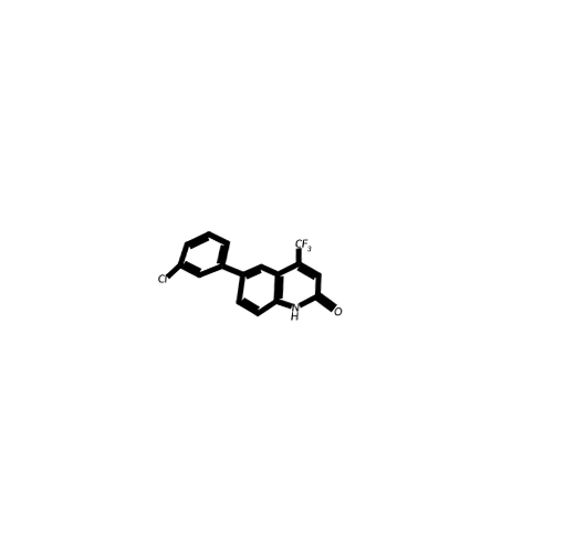 O=c1cc(C(F)(F)F)c2cc(-c3cccc(Cl)c3)ccc2[nH]1